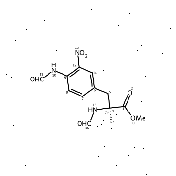 COC(=O)[C@](C)(Cc1ccc(NC=O)c([N+](=O)[O-])c1)NC=O